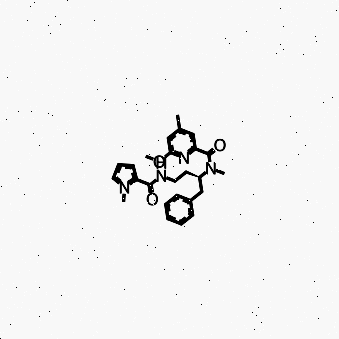 COc1cc(C)cc(C(=O)N(C)[C@H](CCNC(=O)c2cccn2C)Cc2ccccc2)n1